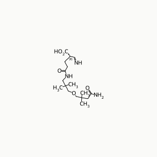 CC(C)(CNC(=O)CC[C@H](C=N)C(=O)O)COCC(C)(C)CC(N)=O